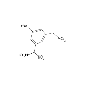 CC(C)(C)c1cc(C[N+](=O)[O-])cc(C([N+](=O)[O-])[N+](=O)[O-])c1